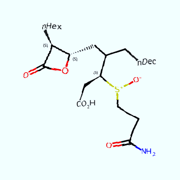 CCCCCCCCCCCC(C[C@@H]1OC(=O)[C@H]1CCCCCC)[C@H](CC(=O)O)[S+]([O-])CCC(N)=O